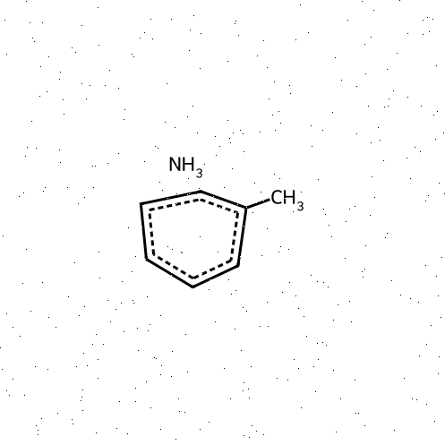 Cc1ccccc1.N